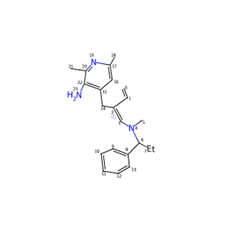 C=C/C(=C\N(C)C(CC)c1ccccc1)Cc1cc(C)nc(C)c1N